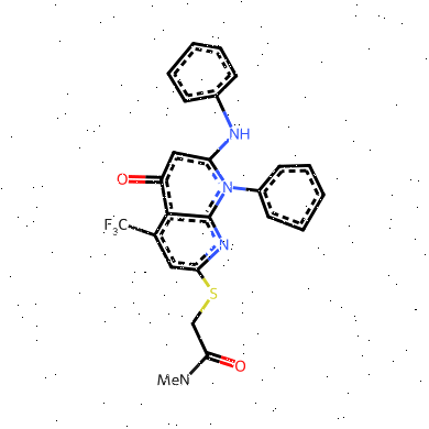 CNC(=O)CSc1cc(C(F)(F)F)c2c(=O)cc(Nc3ccccc3)n(-c3ccccc3)c2n1